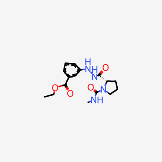 CCOC(=O)c1cccc(NNC(=O)[C@@H]2CCCN2C(=O)NC)c1